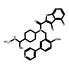 COc1ccc(-c2ccncc2)cc1CN(C(=O)c1sc2cccc(F)c2c1Cl)C1CCC(C(NC(=O)O)C(C)(C)C)CC1